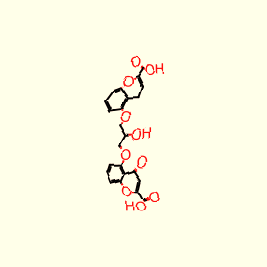 O=C(O)C1=CCc2c(OCC(O)COc3cccc4oc(C(=O)O)cc(=O)c34)cccc2O1